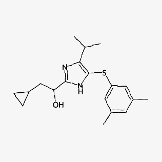 Cc1cc(C)cc(Sc2[nH]c(C(O)CC3CC3)nc2C(C)C)c1